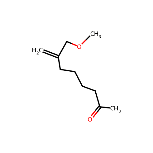 C=C(CCCCC(C)=O)COC